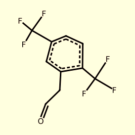 O=CCc1cc(C(F)(F)F)ccc1C(F)(F)F